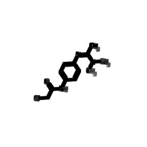 CC(=Nc1ccc(NC(=O)CCl)cc1)N(C)C